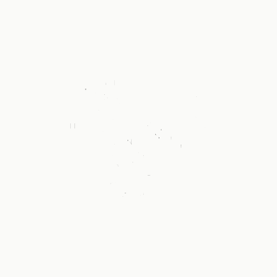 CCC(CCS(C)(=O)=O)C(=O)N1CCN(c2cccc(Cl)c2)CC1c1ccccc1